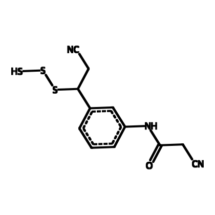 N#CCC(=O)Nc1cccc(C(CC#N)SSS)c1